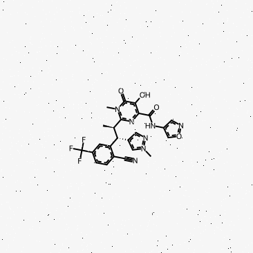 C[C@@H](c1nc(C(=O)Nc2cnoc2)c(O)c(=O)n1C)[C@H](c1cnn(C)c1)c1cc(C(F)(F)F)ccc1C#N